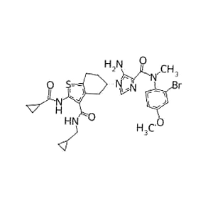 COc1ccc(N(C)C(=O)c2ncn([C@H]3CCc4sc(NC(=O)C5CC5)c(C(=O)NCC5CC5)c4C3)c2N)c(Br)c1